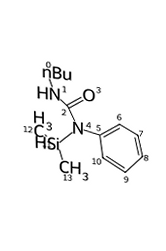 CCCCNC(=O)N(c1ccccc1)[SiH](C)C